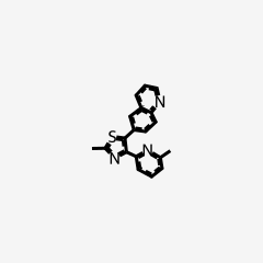 Cc1cccc(-c2nc(C)sc2-c2ccc3ncccc3c2)n1